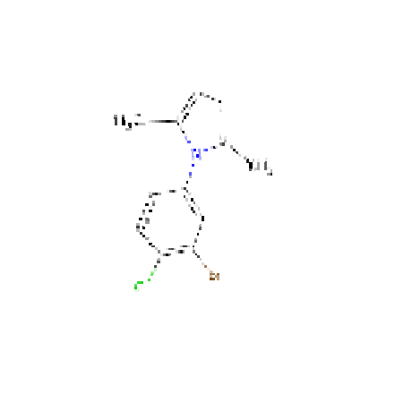 Cc1ccc(C)n1-c1ccc(Cl)c(Br)c1